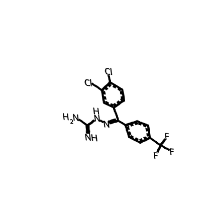 N=C(N)NN=C(c1ccc(C(F)(F)F)cc1)c1ccc(Cl)c(Cl)c1